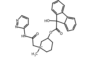 C[N+]1(CC(=O)Nc2cccnn2)CCCC(OC(=O)C2(O)c3ccccc3-c3ccccc32)C1